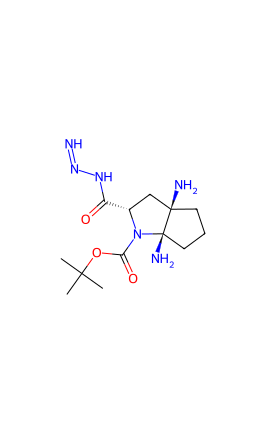 CC(C)(C)OC(=O)N1[C@H](C(=O)NN=N)C[C@]2(N)CCC[C@]12N